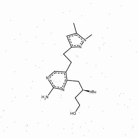 CCCC[C@@H](CCO)Cc1nc(N)ncc1CCc1cc(C)n(C)n1